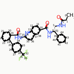 CCC(=O)NC[C@@H](NC(=O)c1ccc2nc(NC(=O)c3ccccc3-c3ccc(C(F)(F)F)cc3)ccc2c1)c1ccccc1